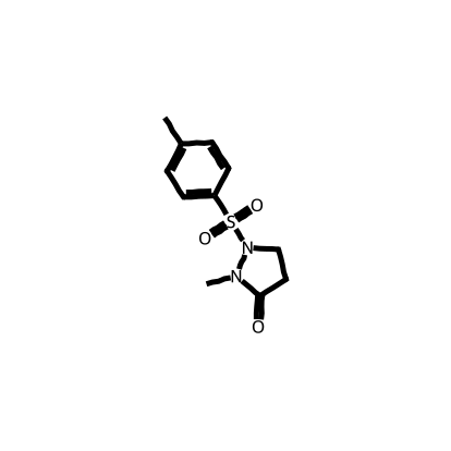 Cc1ccc(S(=O)(=O)N2CCC(=O)N2C)cc1